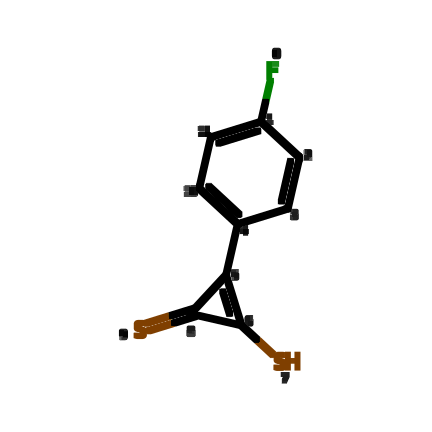 Fc1ccc(-c2c(S)c2=S)cc1